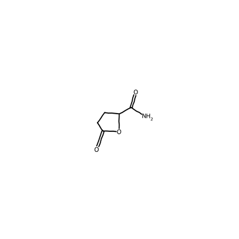 NC(=O)C1CCC(=O)O1